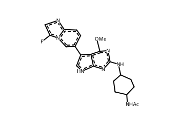 COc1nc(NC2CCC(NC(C)=O)CC2)nc2[nH]cc(-c3ccc4ncc(F)n4c3)c12